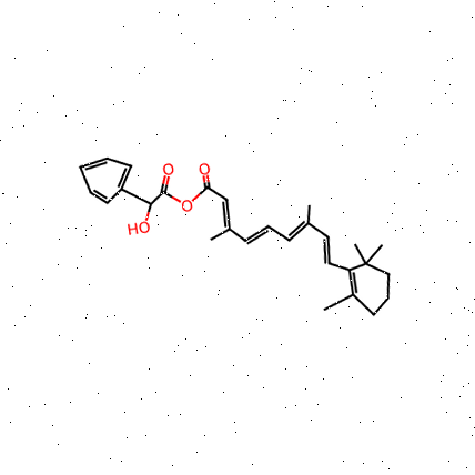 CC(C=CC1=C(C)CCCC1(C)C)=CC=CC(C)=CC(=O)OC(=O)C(O)c1ccccc1